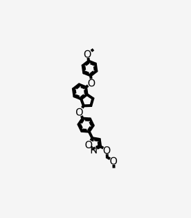 COCOc1cc(-c2ccc(OC3CCc4c(Oc5ccc(OC)cc5)cccc43)cc2)on1